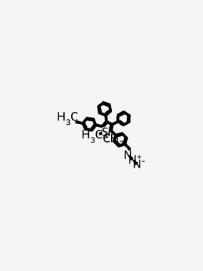 CCc1ccc(C2=C(c3ccccc3)C(c3ccccc3)=C(c3ccc(CN=[N+]=[N-])cc3)[Si]2(C)C)cc1